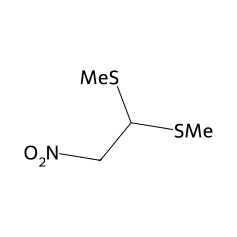 CSC(C[N+](=O)[O-])SC